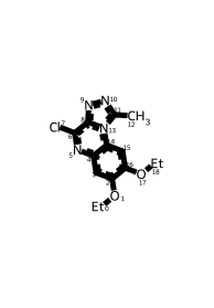 CCOc1cc2nc(Cl)c3nnc(C)n3c2cc1OCC